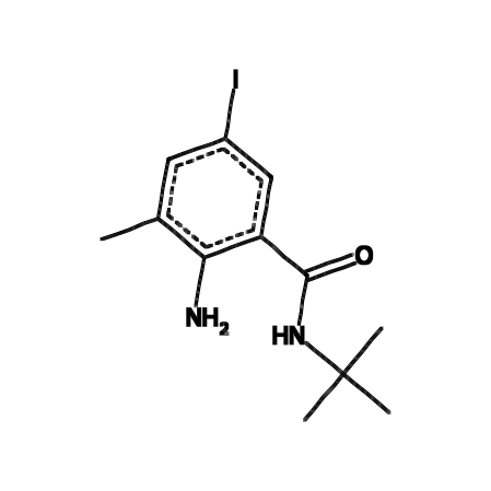 Cc1cc(I)cc(C(=O)NC(C)(C)C)c1N